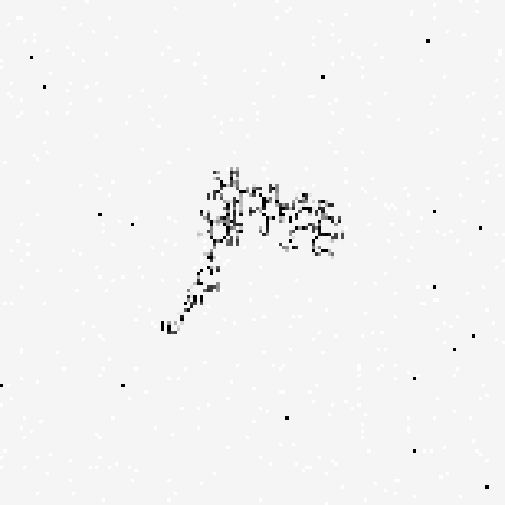 CCC(S)CC(=O)O.CCC(S)CC(=O)O.CCC(S)CC(=O)O.O=c1[nH]c(=O)[nH]c(=O)[nH]1.O=c1[nH]c(=O)[nH]c(=O)[nH]1.O=c1[nH]c(=O)[nH]c(=O)[nH]1.OCCO